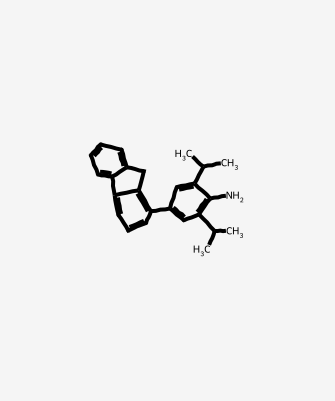 CC(C)c1cc(-c2cccc3c2Cc2ccccc2-3)cc(C(C)C)c1N